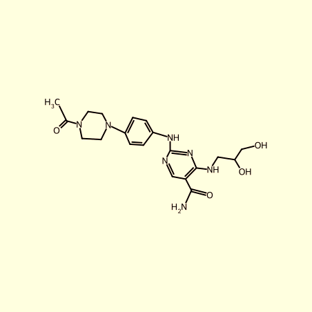 CC(=O)N1CCN(c2ccc(Nc3ncc(C(N)=O)c(NCC(O)CO)n3)cc2)CC1